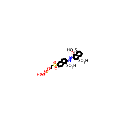 O=S(=O)(O)c1c(/N=N/c2cc(S(=O)(=O)O)c3cccc(S(=O)(=O)O)c3c2O)ccc2cc(S(=O)(=O)CCOSOOO)ccc12